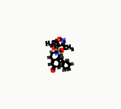 Cc1noc(C)c1S(=O)(=O)N1CCC2=CC(=O)CCC2(Cc2ccccc2)C1